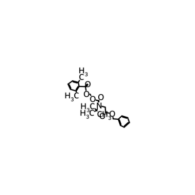 Cc1cccc(C)c1C(=O)OCOC(=O)N(CC(=O)OCc1ccccc1)C(C)(C)C